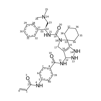 C=CC(=O)Nc1ccc(C(=O)NC2NNC3=C2CN(C(=O)N[C@H](CN(C)C)c2ccccc2)C32CCCCC2)cc1